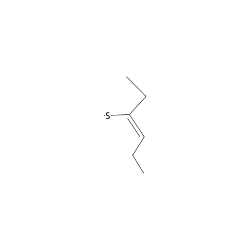 CCC=C([S])CC